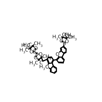 CC1(C)OB(B2OC(C)(C)C(C)(Cc3ccc(-c4cccc5c4oc4cc(B6OC(C)(C)C(C)(C)O6)ccc45)c4c3oc3ccccc34)O2)OC1(C)C